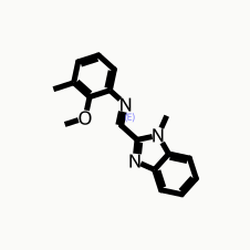 COc1c(C)cccc1/N=C/c1nc2ccccc2n1C